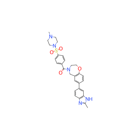 Cc1nc2ccc(-c3ccc4c(c3)CN(C(=O)c3ccc(S(=O)(=O)N5CCN(C)CC5)cc3)CCO4)cc2[nH]1